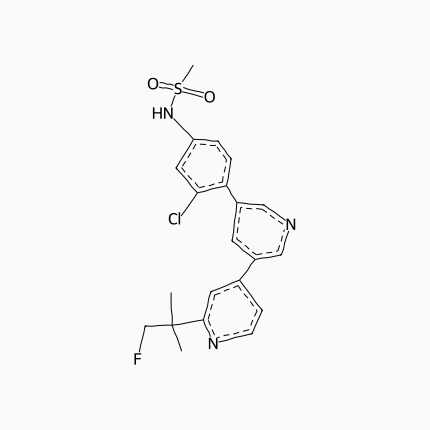 CC(C)(CF)c1cc(-c2cncc(-c3ccc(NS(C)(=O)=O)cc3Cl)c2)ccn1